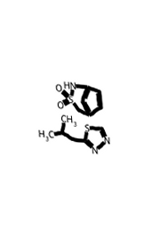 CC(C)Cc1nncs1.O=S1(=O)Cc2ccc(cc2)N1